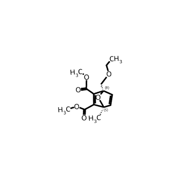 CCOC[C@]12C=C[C@](C)(O1)C(C(=O)OC)=C2C(=O)OC